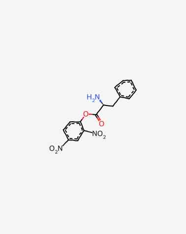 N[C@@H](Cc1ccccc1)C(=O)Oc1ccc([N+](=O)[O-])cc1[N+](=O)[O-]